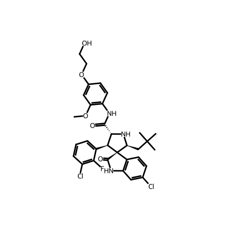 COc1cc(OCCO)ccc1NC(=O)[C@@H]1N[C@@H](CC(C)(C)C)[C@@]2(C(=O)Nc3cc(Cl)ccc32)[C@H]1c1cccc(Cl)c1F